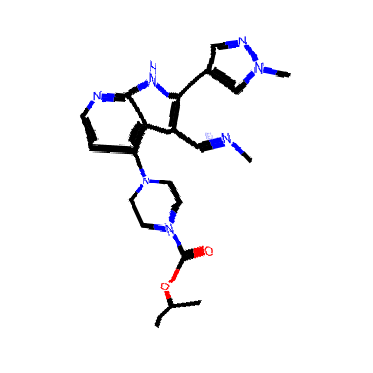 C/N=C/c1c(-c2cnn(C)c2)[nH]c2nccc(N3CCN(C(=O)OC(C)C)CC3)c12